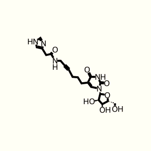 O=C(Cc1c[nH]cn1)NCC#CCCCc1cn([C@@H]2O[C@H](CO)[C@@H](O)[C@H]2O)c(=O)[nH]c1=O